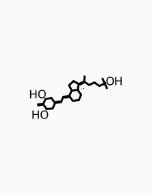 C=C1[C@H](O)CC(=C/C=C2\CCC[C@]3(C)/C(=C(/C)CCCC(C)(C)O)CCC23)C[C@H]1O